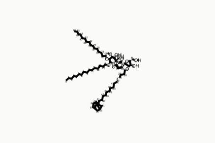 CCCCCCCCCCCCCCCCOC1O[C@@](CO)(n2c(=O)ccn([C@@H]3O[C@H](CO)[C@@H](O)[C@H]3OCCCCCCCCCCCCCCCC34CC5CC(CC(C5)C3)C4)c2=O)[C@H](O)[C@H](OC)[C@H]1OCCCCCCCCCCCCCCCC